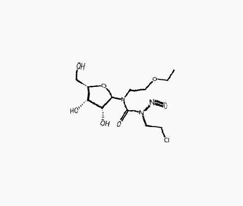 CCOCCN(C(=O)N(CCCl)N=O)C1O[C@H](CO)[C@@H](O)[C@H]1O